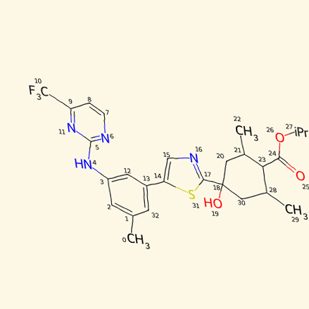 Cc1cc(Nc2nccc(C(F)(F)F)n2)cc(-c2cnc(C3(O)CC(C)C(C(=O)OC(C)C)C(C)C3)s2)c1